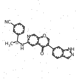 C[C@H](Nc1cc2c(=O)c(-c3ccc4cn[nH]c4c3)coc2cn1)c1cccc(C#N)c1